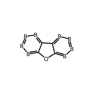 b1bbc2c(b1)oc1bbbbc12